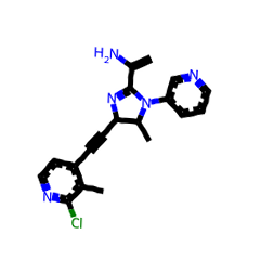 C=C(N)C1=NC(C#Cc2ccnc(Cl)c2C)C(C)N1c1cccnc1